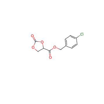 O=C1OCC(C(=O)OCc2ccc(Cl)cc2)O1